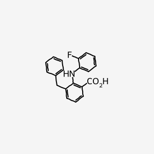 O=C(O)c1cccc(Cc2ccccc2)c1Nc1ccccc1F